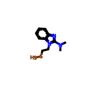 CN(C)c1nc2ccccc2n1CCSS